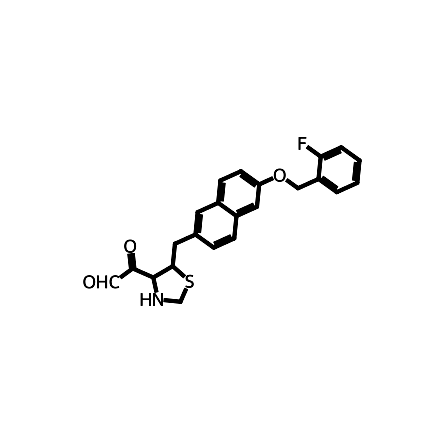 O=CC(=O)C1NCSC1Cc1ccc2cc(OCc3ccccc3F)ccc2c1